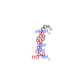 C=C/C=C\C(N)NC(=O)COc1ccc2ccccc2c1-c1c(OCC(=O)Nc2cccc(NC(=O)c3cc(O)cc(C(N)=O)c3)n2)ccc2ccccc12